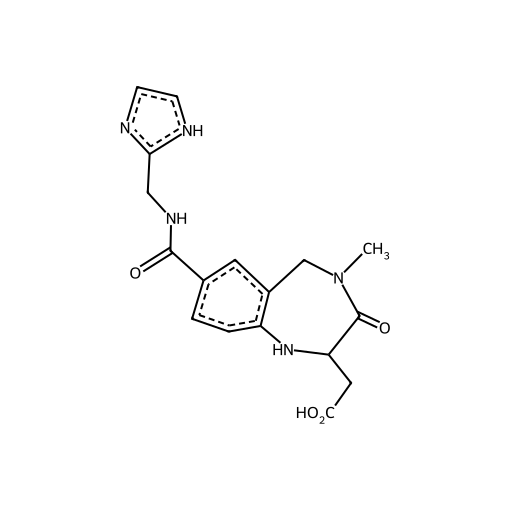 CN1Cc2cc(C(=O)NCc3ncc[nH]3)ccc2NC(CC(=O)O)C1=O